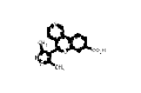 Cc1noc(C)c1-c1nc2cc(C(=O)O)ccc2c2cnccc12